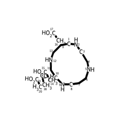 C1CNCCNCCCNCCNC1.CC(=O)O.CC(=O)O.CC(=O)O.CC(=O)O